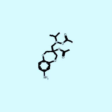 CC(=O)ON(CC1(OC(C)=O)COc2ccc(N)cc2OC1)C(C)C